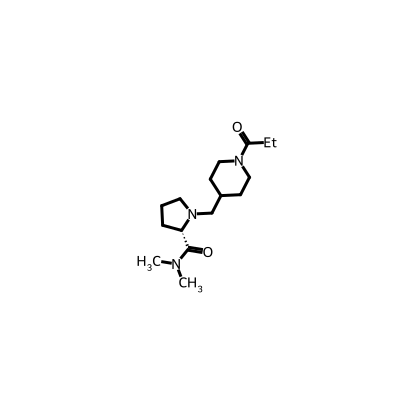 CCC(=O)N1CCC(CN2CCC[C@H]2C(=O)N(C)C)CC1